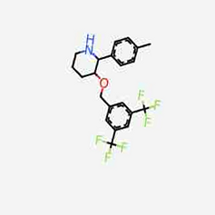 Cc1ccc(C2NCCCC2OCc2cc(C(F)(F)F)cc(C(F)(F)F)c2)cc1